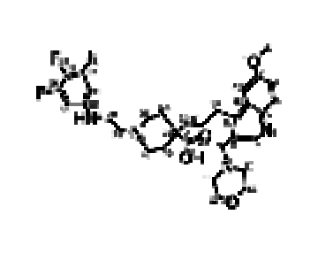 COc1ccc2ncc(CN3CCOCC3)c(CCCC3(C(=O)O)CCN(CCNc4cc(F)c(F)c(F)c4)CC3)c2c1